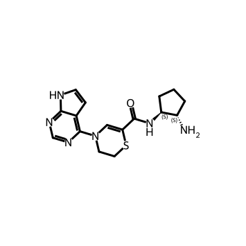 N[C@H]1CCC[C@@H]1NC(=O)C1=CN(c2ncnc3[nH]ccc23)CCS1